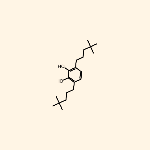 CC(C)(C)CCCc1ccc(CCCC(C)(C)C)c(O)c1O